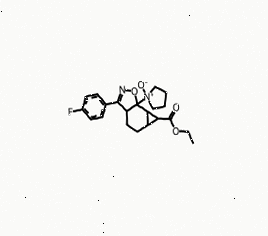 CCOC(=O)C1C2CCC3C(c4ccc(F)cc4)=NOC3([N+]3([O-])CCCC3)C21